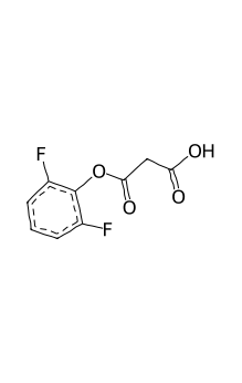 O=C(O)CC(=O)Oc1c(F)cccc1F